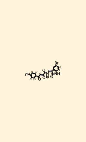 O=C(N/N=C1\C(=O)Nc2ccc(Br)cc21)/C(O)=C/C(=O)c1ccc(Cl)cc1